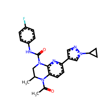 CC(=O)N1c2ccc(-c3cnn(C4CC4)c3)nc2N(C(=O)Nc2ccc(F)cc2)CC1C